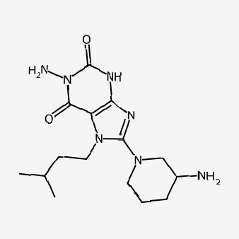 CC(C)CCn1c(N2CCCC(N)C2)nc2[nH]c(=O)n(N)c(=O)c21